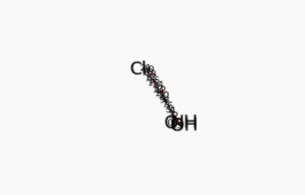 O=C(CCCCCCCCCCCCCCCCCCCCl)NO